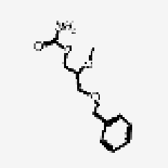 COC(COCc1ccccc1)COC(N)=O